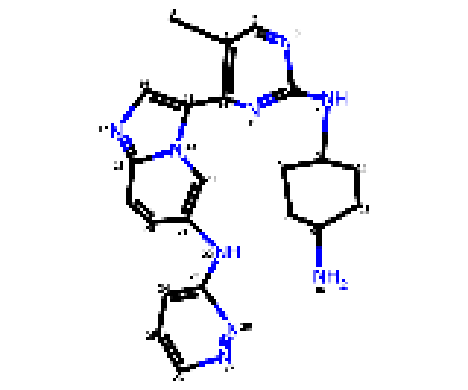 Cc1cnc(NC2CCC(N)CC2)nc1-c1cnc2ccc(Nc3cccnn3)cn12